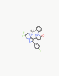 Cc1ccccc1-n1nc(-c2c(-c3ccc(F)cc3)nn3c2NCC(F)(F)C3)ccc1=O